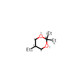 CC[C]1COC(CC)(CC)OC1